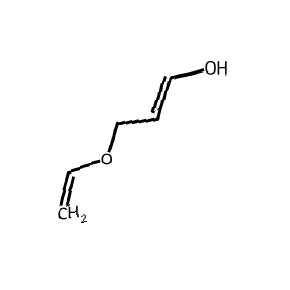 C=COCC=CO